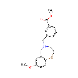 COC(=O)c1cccc(CN2CCSc3ccc(OC)cc3C2)c1